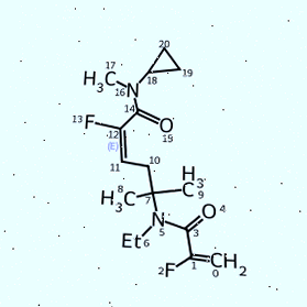 C=C(F)C(=O)N(CC)C(C)(C)C/C=C(/F)C(=O)N(C)C1CC1